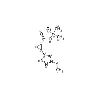 CCn1cc([C@H]2C[C@@H]2C(=O)OC(C)(C)C)nn1